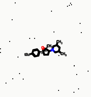 CC1CC(C)CN(C2CC[C@@]3(c4ccc(C(C)(C)C)cc4)O[C@@]23C)C1